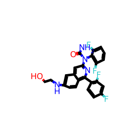 NC(=O)N(c1cc2cc(NCCO)ccc2c(-c2ccc(F)cc2F)n1)c1c(F)cccc1F